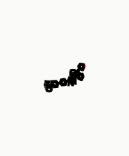 CN(C)C(=O)c1ccc(-c2ccc(-c3cn(C(=O)N4CCCCC4Cc4ccccc4)nn3)cc2)cc1